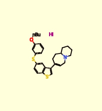 CCCCOc1cccc(Sc2ccc3scc(C4=CCN5CCCCC5CC4)c3c2)c1.I